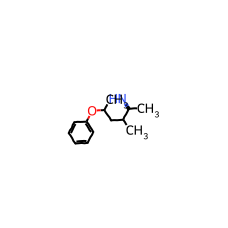 CC(=N)C(C)CC(C)Oc1ccccc1